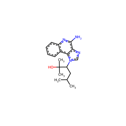 CC(C)CC(n1cnc2c(N)nc3ccccc3c21)C(C)(C)O